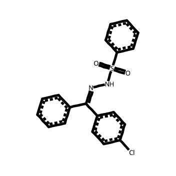 O=S(=O)(NN=C(c1ccccc1)c1ccc(Cl)cc1)c1ccccc1